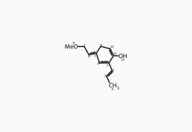 CC=CC1=CC(=CCOC)CC=C1O